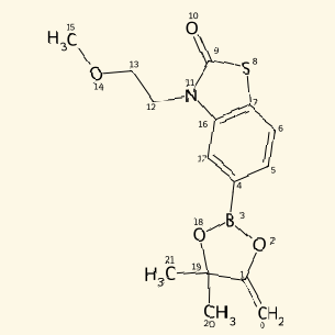 C=C1OB(c2ccc3sc(=O)n(CCOC)c3c2)OC1(C)C